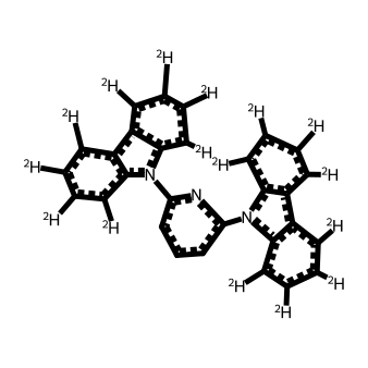 [2H]c1c([2H])c([2H])c2c(c1[2H])c1c([2H])c([2H])c([2H])c([2H])c1n2-c1cccc(-n2c3c([2H])c([2H])c([2H])c([2H])c3c3c([2H])c([2H])c([2H])c([2H])c32)n1